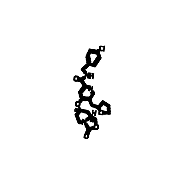 O=C(NCc1ccc(Cl)cc1)c1cc(O[C@H]2CCN3C(=O)OC[C@@H]3C2)c(CC2CCCO2)cn1